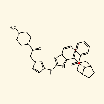 CN1CCN(C(=O)Cn2cc(Nc3nc4c(N5CC6CCC(C5)N6C(=O)c5ccccc5)cccn4n3)cn2)CC1